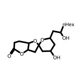 CCCCCCC(O)CC1CC(O)CC2(CC3OC(=O)CCC3O2)O1